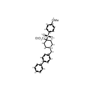 CCOC(=O)C1(S(=O)(=O)c2ccc(OC)cc2)CCN(Cc2ccc(-c3ccccc3)cc2)CC1